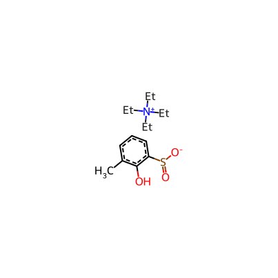 CC[N+](CC)(CC)CC.Cc1cccc(S(=O)[O-])c1O